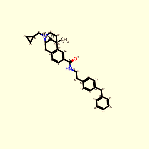 C[C@H]1C2Cc3ccc(C(=O)NCCc4ccc(Cc5ccccc5)cc4)cc3[C@@]1(C)CCN2CC1CC1